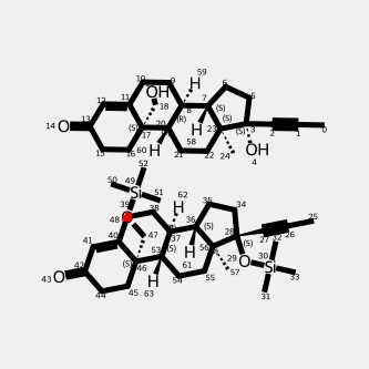 CC#C[C@]1(O)CC[C@H]2[C@@H]3CCC4=CC(=O)CC[C@]4(CO)[C@H]3CC[C@@]21C.CC#C[C@]1(O[Si](C)(C)C)CC[C@H]2[C@@H]3CCC4=CC(=O)CC[C@]4(CO[Si](C)(C)C)[C@H]3CC[C@@]21C